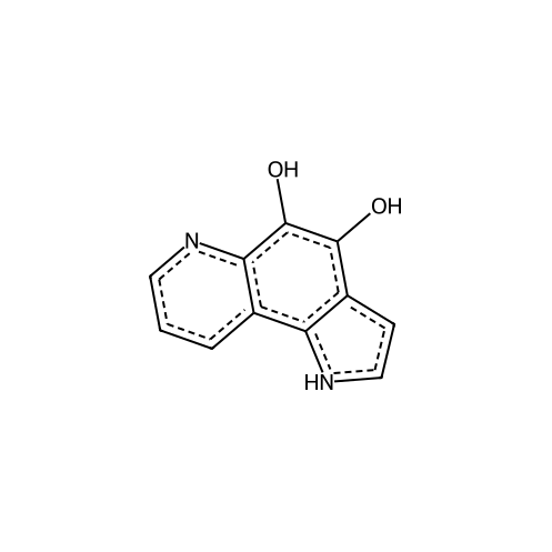 Oc1c(O)c2ncccc2c2[nH]ccc12